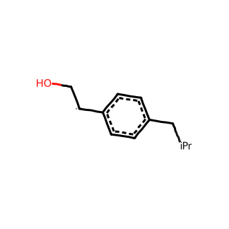 CC(C)Cc1ccc([CH]CO)cc1